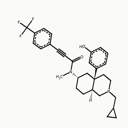 CN(C(=O)C#Cc1ccc(C(F)(F)F)cc1)[C@H]1CC[C@@H]2CN(CC3CC3)CC[C@@]2(c2cccc(O)c2)C1